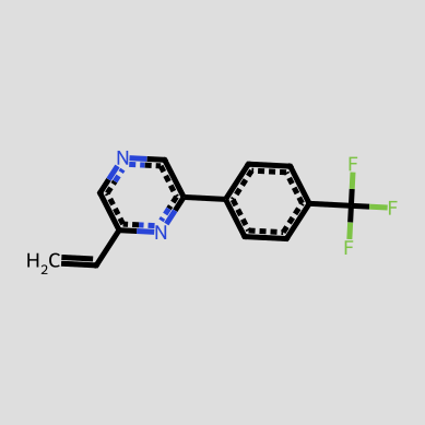 C=Cc1cncc(-c2ccc(C(F)(F)F)cc2)n1